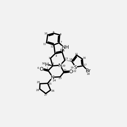 O=C1[C@@H]2Cc3c([nH]c4ccccc34)[C@H](c3ccc(Br)s3)N2C(=O)CN1C1CCCC1